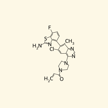 C=CC(=O)N1CCN(c2ncnc3c(C)c(-c4ccc(F)c5sc(N)nc45)c(Cl)cc23)CC1